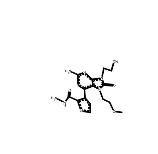 COCCn1c(=O)n(CCO)c2nc(N)nc(-c3ccoc3C(=O)NN)c21